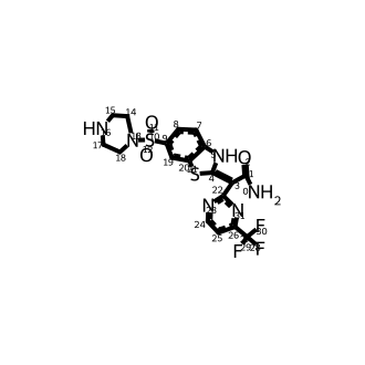 NC(=O)/C(=C1\Nc2ccc(S(=O)(=O)N3CCNCC3)cc2S1)c1nccc(C(F)(F)F)n1